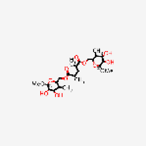 CO[C@H]1OC(COC(=O)C(C)CC(C)C(=O)OCC2O[C@H](OC)C(O)C(O)C2C)C(C)C(O)C1O